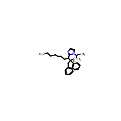 CCCCCCCC(c1nccn1C(C)C)C(C)(Cc1ccccc1)c1ccccc1